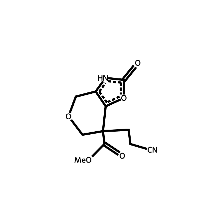 COC(=O)C1(CCC#N)COCc2[nH]c(=O)oc21